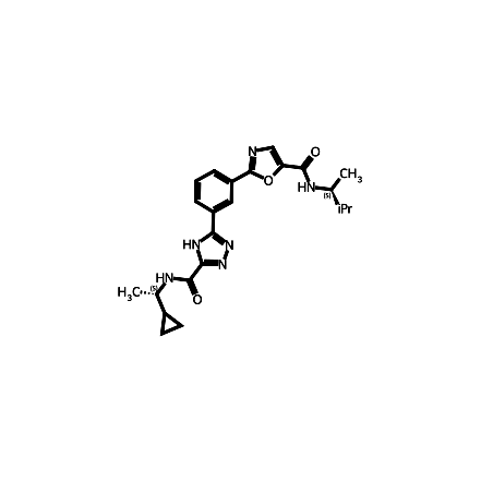 CC(C)[C@H](C)NC(=O)c1cnc(-c2cccc(-c3nnc(C(=O)N[C@@H](C)C4CC4)[nH]3)c2)o1